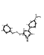 CN(C)c1ccc(-c2n[nH]c([CH]CCc3ccccc3)n2)cc1